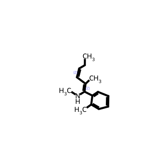 CC/C=C\C(C)=C(/NC)c1ccccc1C